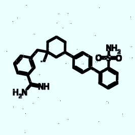 [CH2]C1(Cc2cccc(C(=N)N)c2)CCCC(c2ccc(-c3ccccc3S(N)(=O)=O)cc2)C1